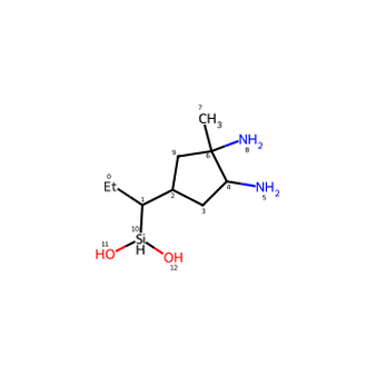 CCC(C1CC(N)C(C)(N)C1)[SiH](O)O